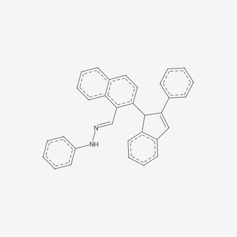 C(=NNc1ccccc1)c1c(C2C(c3ccccc3)=Cc3ccccc32)ccc2ccccc12